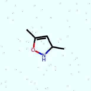 C[C]1C=C(C)ON1